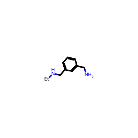 CCNCc1cccc(CN)c1